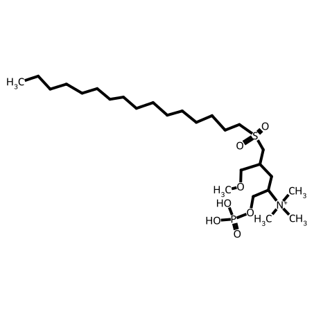 CCCCCCCCCCCCCCCCS(=O)(=O)CC(COC)CC(COP(=O)(O)O)[N+](C)(C)C